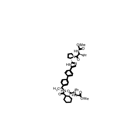 COC(=O)N[C@H](C(=O)N1CCC[C@H]1c1ncc(-c2ccc(-c3ccc([C@@H](C)NC(=O)C4CCCC[C@H]4C(=O)N(NC(=O)OC)C(C)C)cc3)cc2)[nH]1)C(C)C